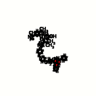 Cc1ncsc1-c1ccc([C@H](C)NC(=O)[C@@H]2C[C@@H](O)CN2C(=O)[C@@H](c2cc(N3CCC(CN4CCC(O[C@H]5C[C@H](Oc6cc(N7C8CCC7CN(c7cc(-c9ccccc9)nnc7N)C8)ccn6)C5)CC4)CC3)no2)C(C)C)cc1